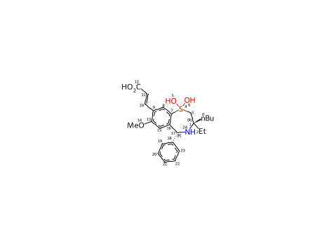 CCCC[C@]1(CC)CS(O)(O)c2cc(C=CC(=O)O)c(OC)cc2[C@@H](c2ccccc2)N1